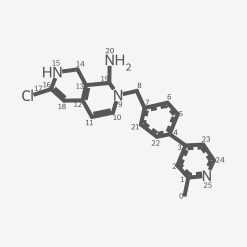 Cc1cc(-c2ccc(CN3C=CC4=C(CNC(Cl)=C4)C3N)cc2)ccn1